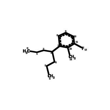 CCCC(CCC)c1cccc(F)c1C